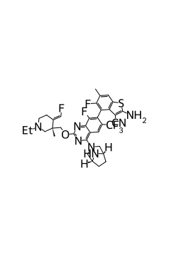 CCN1CC/C(=C\F)[C@](C)(COc2nc(N3C[C@H]4CC[C@@H](C3)N4)c3cc(C(F)(F)F)c(-c4c(F)c(C)cc5sc(N)c(C#N)c45)c(F)c3n2)C1